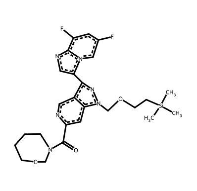 C[Si](C)(C)CCOCn1nc(-c2cnc3c(F)cc(F)cn23)c2cnc(C(=O)N3CCCCCC3)cc21